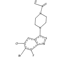 C=CC(=C)N1CCN(c2snc3c(F)c(Br)c(Cl)cc23)CC1